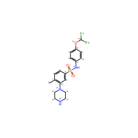 Cc1ccc(S(=O)(=O)Nc2ccc(OC(F)F)cc2)cc1N1CCNCC1